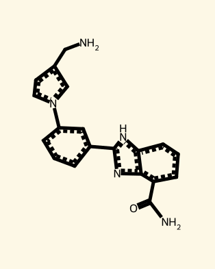 NCc1ccn(-c2cccc(-c3nc4c(C(N)=O)cccc4[nH]3)c2)c1